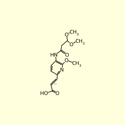 COc1nc(/C=C/C(=O)O)ccc1NC(=O)CC(OC)OC